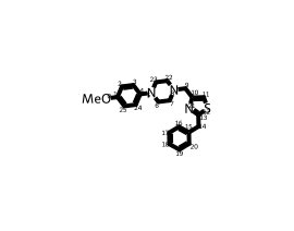 COc1ccc(N2CCN(Cc3csc(Cc4ccccc4)n3)CC2)cc1